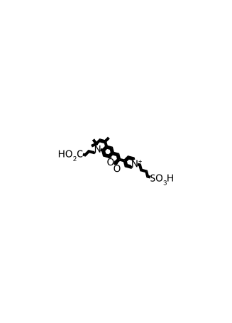 CC1=CC(C)(C)N(CCCC(=O)O)c2cc3oc(=O)c(-c4cc[n+](CCCCS(=O)(=O)O)cc4)cc3cc21